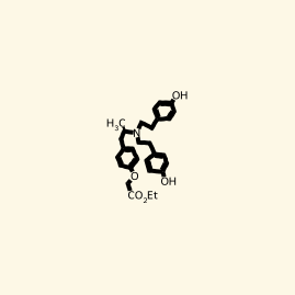 CCOC(=O)COc1ccc(C[C@@H](C)N(CCc2ccc(O)cc2)CCc2ccc(O)cc2)cc1